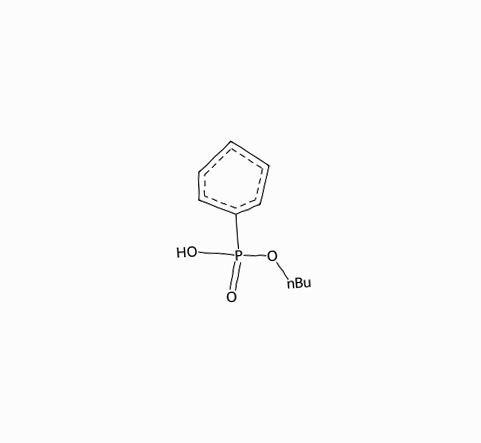 CCCCOP(=O)(O)c1ccccc1